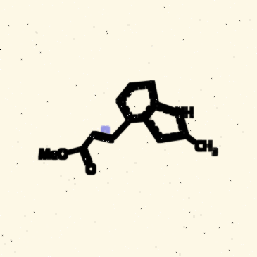 COC(=O)/C=C/c1cccc2[nH]c(C)cc12